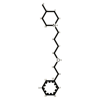 CC1CCN(CCCCOCCc2ccccc2)CC1